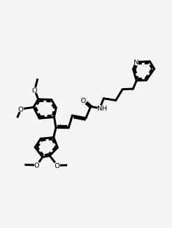 COc1ccc(C(=CC=CC(=O)NCCCCc2cccnc2)c2ccc(OC)c(OC)c2)cc1OC